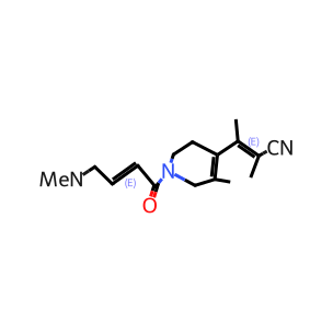 CNC/C=C/C(=O)N1CCC(/C(C)=C(\C)C#N)=C(C)C1